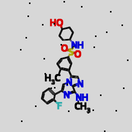 CNc1nc(-c2ccccc2F)cn2c(-c3cc(S(=O)(=O)N[C@H]4CC[C@H](O)CC4)ccc3C)cnc12